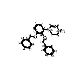 C1=NNCCN1c1cccc(OCc2ccccc2)c1OCc1ccccc1